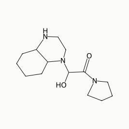 O=C(C(O)N1CCNC2CCCCC21)N1CCCC1